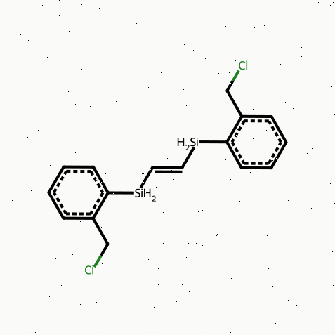 ClCc1ccccc1[SiH2]C=C[SiH2]c1ccccc1CCl